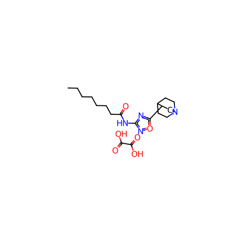 CCCCCCCC(=O)Nc1noc(C2CN3CCC2CC3)n1.O=C(O)C(=O)O